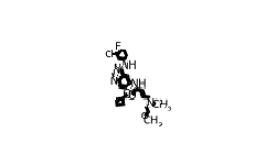 COCCN(C)C/C=C/C(=O)Nc1cc2c(Nc3ccc(F)c(Cl)c3)ncnc2cc1OC1CCC1